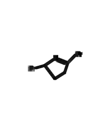 CC(C)C1=NC(C(C)C)CC1